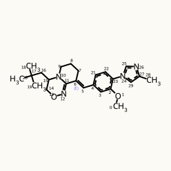 COc1cc(/C=C2\CCCN3C2=NOCC3CC(C)(C)C)ccc1-n1cnc(C)c1